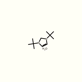 CC(C)(C)N1C=CN(C(C)(C)C)C1.O